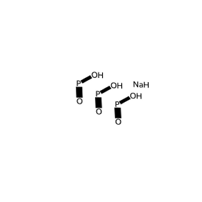 O=PO.O=PO.O=PO.[NaH]